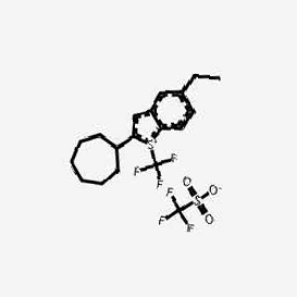 CCc1ccc2c(c1)cc(C1CCCCCC1)[s+]2C(F)(F)F.O=S(=O)([O-])C(F)(F)F